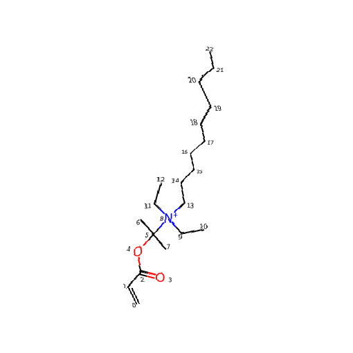 C=CC(=O)OC(C)(C)[N+](CC)(CC)CCCCCCCCCC